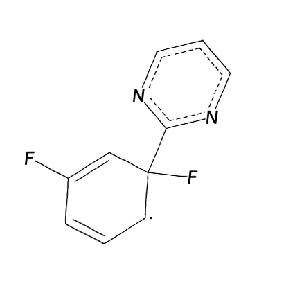 FC1=CC(F)(c2ncccn2)[CH]C=C1